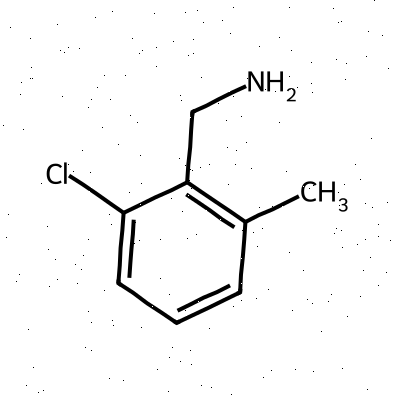 Cc1cccc(Cl)c1CN